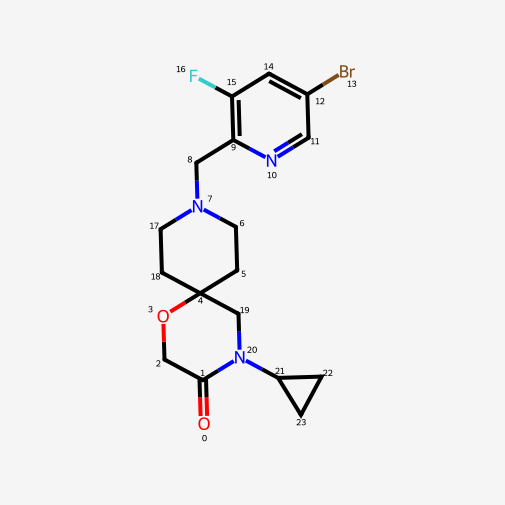 O=C1COC2(CCN(Cc3ncc(Br)cc3F)CC2)CN1C1CC1